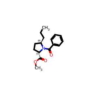 CCC[C@@H]1CC[C@@H](C(=O)OC)N1C(=O)c1ccccc1